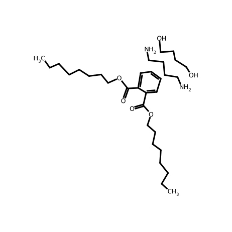 CCCCCCCCOC(=O)c1ccccc1C(=O)OCCCCCCCC.NCCCCN.OCCCCO